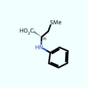 CSC[C@H](Nc1ccccc1)C(=O)O